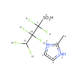 Cc1ncc[nH]1.O=S(=O)(O)C(F)(F)C(F)(F)C(F)F